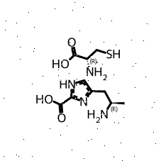 C[C@@H](N)Cc1c[nH]c(C(=O)O)n1.N[C@@H](CS)C(=O)O